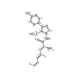 C\C=C/C=C(C)/C=C(\N)C(=O)Nc1scc(-c2ccc(Cl)cc2)c1C(=O)O